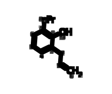 C=CCc1cccc(CCC)c1O